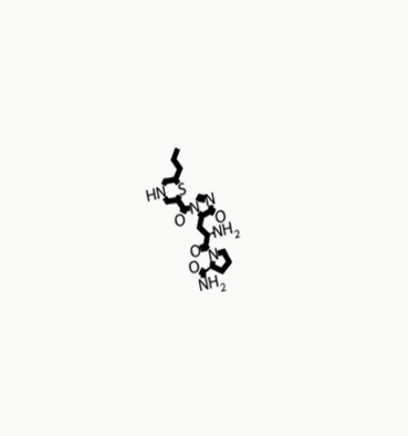 CCCC1CNCC(C(=O)N2C=NC(=O)C2C[C@H](N)C(=O)N2CCC[C@H]2C(N)=O)S1